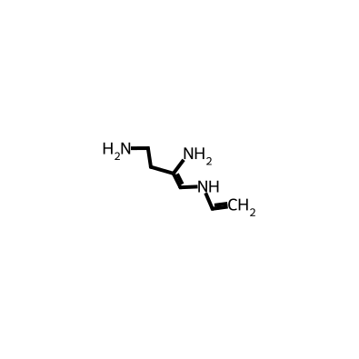 C=CN/C=C(\N)CCN